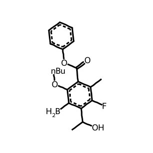 Bc1c(OCCCC)c(C(=O)Oc2ccccc2)c(C)c(F)c1C(C)O